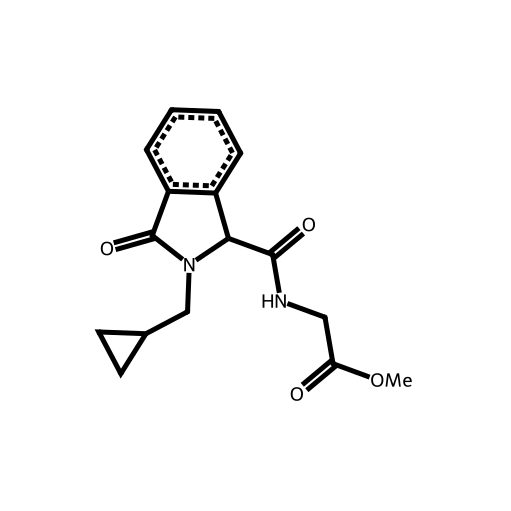 COC(=O)CNC(=O)C1c2ccccc2C(=O)N1CC1CC1